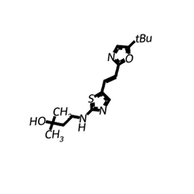 CC(C)(O)CCNc1ncc(/C=C/c2ncc(C(C)(C)C)o2)s1